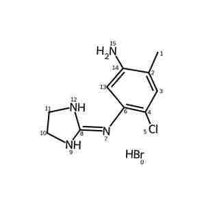 Br.Cc1cc(Cl)c(N=C2NCCN2)cc1N